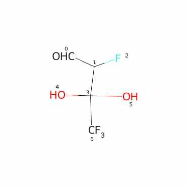 O=CC(F)C(O)(O)C(F)(F)F